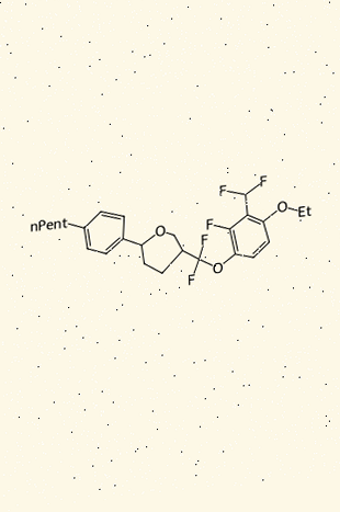 CCCCCc1ccc(C2CCC(C(F)(F)Oc3ccc(OCC)c(C(F)F)c3F)CO2)cc1